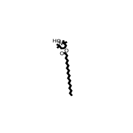 CCCCCCCCCCCCCCCCCC(=O)OC1CC(C)(C)N(O)C(C)(C)C1